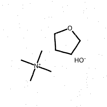 C1CCOC1.C[N+](C)(C)C.[OH-]